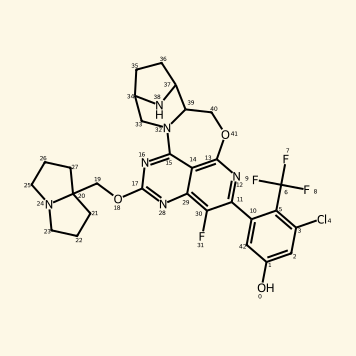 Oc1cc(Cl)c(C(F)(F)F)c(-c2nc3c4c(nc(OCC56CCCN5CCC6)nc4c2F)N2CC4CCC(N4)C2CO3)c1